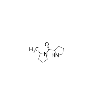 C[C@@H]1CCCN1C(=O)C1CCCN1